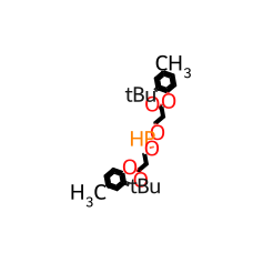 Cc1ccc(OC(=O)CCOPOCCC(=O)Oc2ccc(C)cc2C(C)(C)C)c(C(C)(C)C)c1